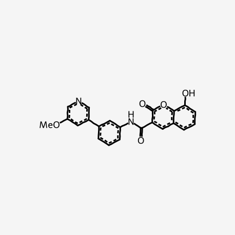 COc1cncc(-c2cccc(NC(=O)c3cc4cccc(O)c4oc3=O)c2)c1